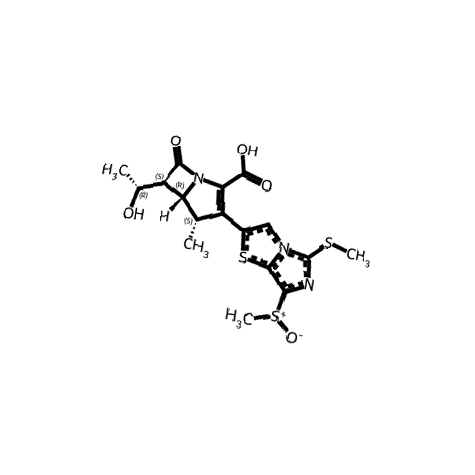 CSc1nc([S+](C)[O-])c2sc(C3=C(C(=O)O)N4C(=O)[C@H]([C@@H](C)O)[C@H]4[C@H]3C)cn12